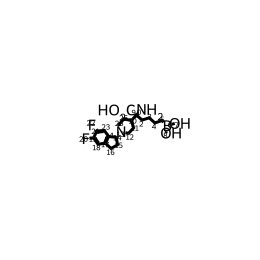 NC(CCCCB(O)O)(C(=O)O)C1CCN(C2CCc3cc(F)c(F)cc32)CC1